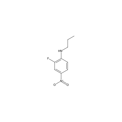 CCCNc1ccc([N+](=O)[O-])cc1F